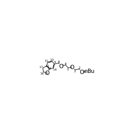 CCCCOCCOCCOCc1ccc2c(c1)OCC2